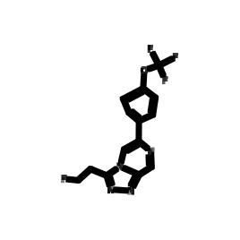 FCCc1nnc2cnc(-c3ccc(OC(F)(F)F)cc3)cn12